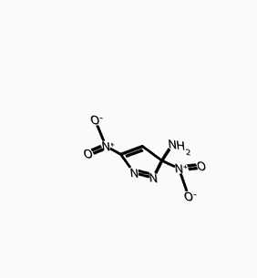 NC1([N+](=O)[O-])C=C([N+](=O)[O-])N=N1